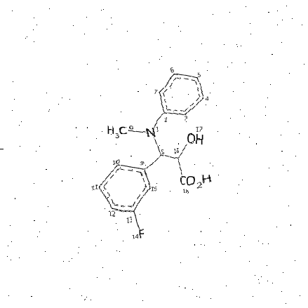 CN(c1ccccc1)C(c1cccc(F)c1)C(O)C(=O)O